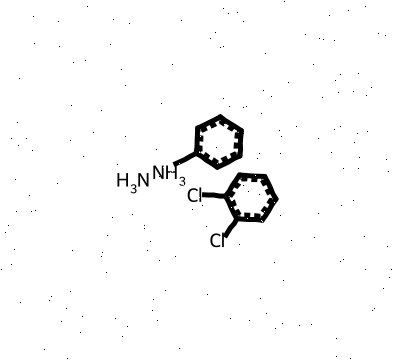 Cc1ccccc1.Clc1ccccc1Cl.N.N